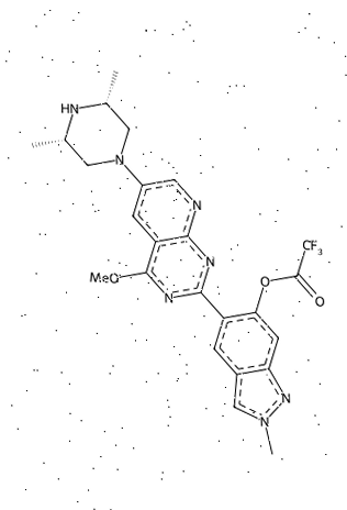 COc1nc(-c2cc3cn(C)nc3cc2OC(=O)C(F)(F)F)nc2ncc(N3C[C@@H](C)N[C@@H](C)C3)cc12